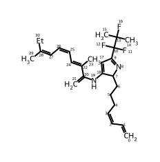 C=C/C=C\CCCC1N=C(C(F)(F)C(C)(C)F)C=C1NC(=C)/C(C)=C/C=C\C=C(\C)CC